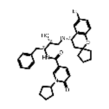 CCc1ccc2c(c1)[C@@H](NC[C@@H](O)[C@H](Cc1ccccc1)NC(=O)c1ccc(=O)n(C3CCCC3)c1)CC1(CCCC1)O2